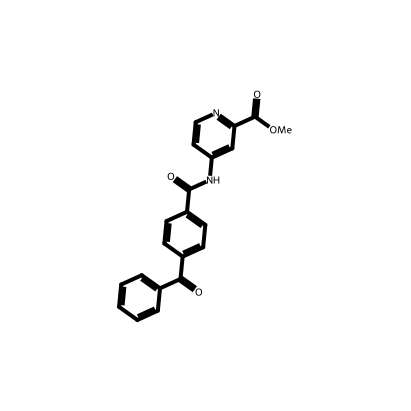 COC(=O)c1cc(NC(=O)c2ccc(C(=O)c3ccccc3)cc2)ccn1